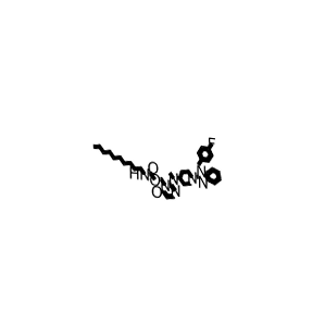 CCCCCCCCCCNC(=O)OCn1c(N(C)C2CCN(c3nc4ccccc4n3Cc3ccc(F)cc3)CC2)nccc1=O